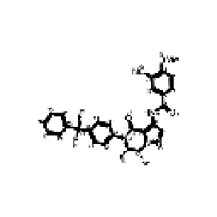 COc1ccc(C(=O)Nc2cnn3c2C(=O)N(c2ccc(C(F)(F)c4ccccc4)cc2)[C@H](C)[C@H]3C)cc1C#N